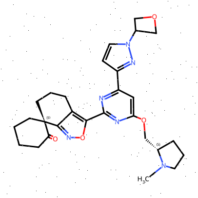 CN1CCC[C@H]1COc1cc(-c2ccn(C3COC3)n2)nc(-c2onc3c2CCC[C@@]32CCCCC2=O)n1